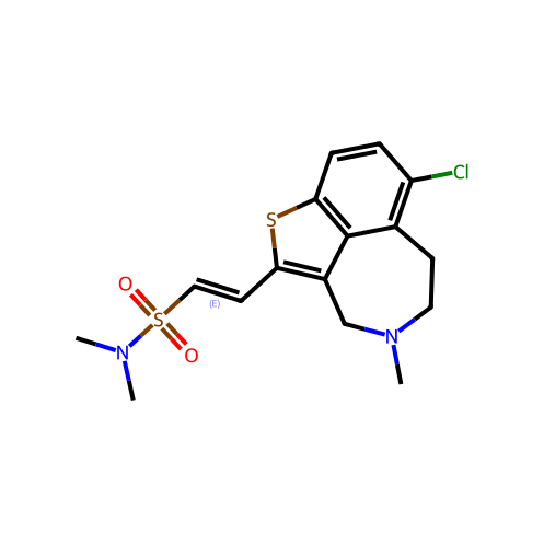 CN1CCc2c(Cl)ccc3sc(/C=C/S(=O)(=O)N(C)C)c(c23)C1